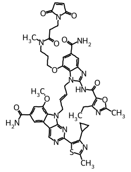 CCc1nc(C)oc1C(=O)Nc1nc2cc(C(N)=O)cc(OCCCN(C)C(=O)CCN3C(=O)C=CC3=O)c2n1C/C=C/Cn1c2nc(-c3sc(C)nc3C3CC3)ncc2c2cc(C(N)=O)cc(OC)c21